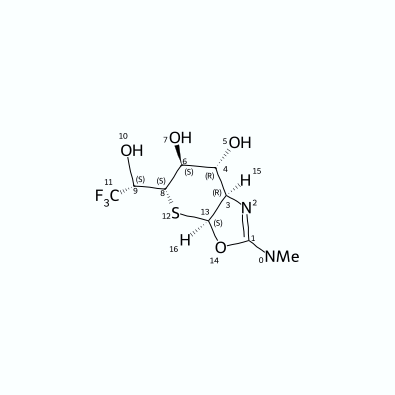 CNC1=N[C@@H]2[C@@H](O)[C@H](O)[C@@H]([C@@H](O)C(F)(F)F)S[C@@H]2O1